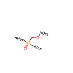 CCCCCCCCOCP(=O)(CCCCCC)CCCCCC